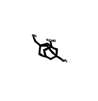 CC12CC3CC(N)(C1)CC(CO)(C3)C2.Cl